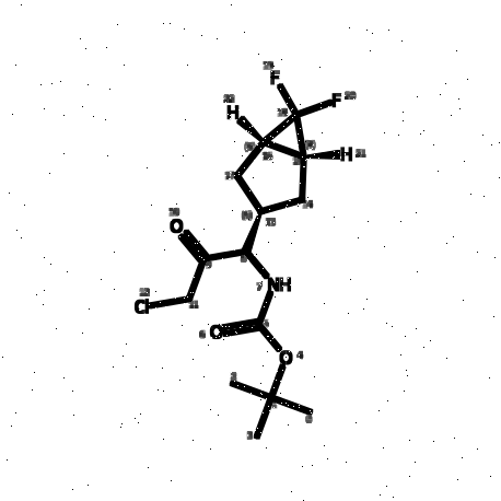 CC(C)(C)OC(=O)NC(C(=O)CCl)[C@@H]1C[C@@H]2[C@H](C1)C2(F)F